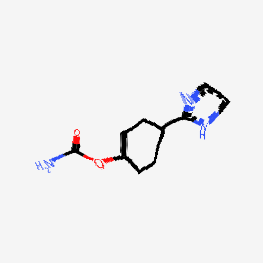 NC(=O)OC1CCC(c2ncc[nH]2)CC1